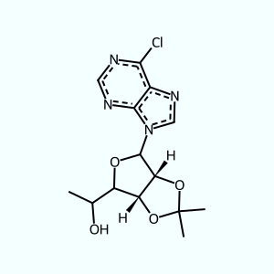 CC(O)C1OC(n2cnc3c(Cl)ncnc32)[C@@H]2OC(C)(C)O[C@H]12